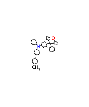 Cc1ccc(-c2ccc(N(c3ccccc3)c3ccc4c(c3)-c3ccccc3C43c4ccccc4Oc4ccccc43)cc2)cc1